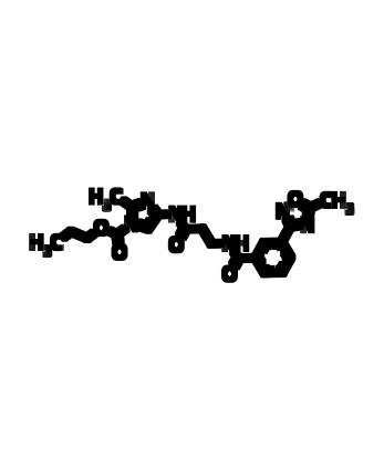 CCCOC(=O)n1cc(NC(=O)CCNC(=O)c2cccc(-c3noc(C)n3)c2)nc1C